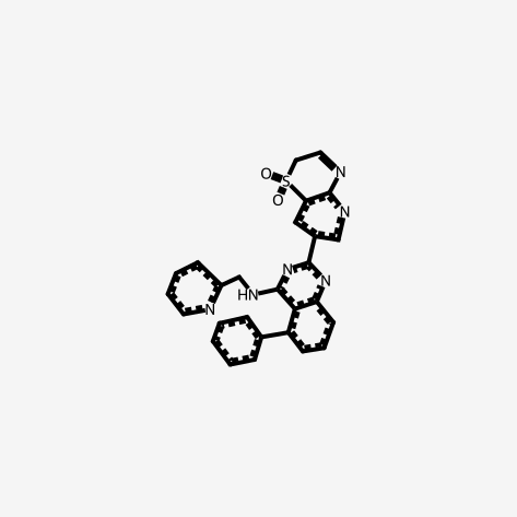 O=S1(=O)CC=Nc2ncc(-c3nc(NCc4ccccn4)c4c(-c5ccccc5)cccc4n3)cc21